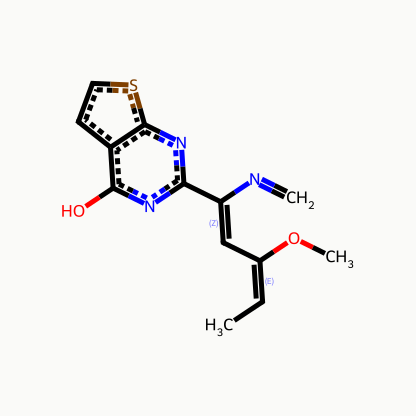 C=N/C(=C\C(=C/C)OC)c1nc(O)c2ccsc2n1